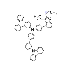 C=Cc1c(/C=C\C)oc2cccc(-c3ccc(N(c4ccc(-c5cccc(-n6c7ccccc7c7ccccc76)c5)cc4)c4cccc(-c5ccccc5-c5ccccc5)c4)cc3)c12